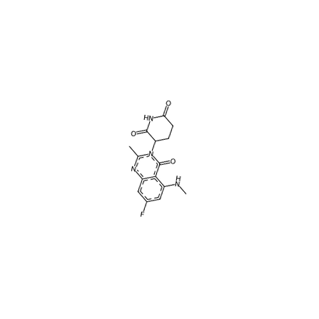 CNc1cc(F)cc2nc(C)n(C3CCC(=O)NC3=O)c(=O)c12